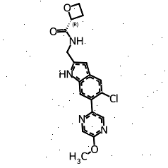 COc1cnc(-c2cc3[nH]c(CNC(=O)[C@H]4CCO4)cc3cc2Cl)cn1